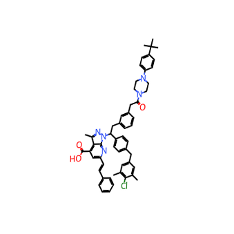 Cc1cc(Cc2ccc(C(Cc3cccc(CC(=O)N4CCN(c5ccc(C(C)(C)C)cc5)CC4)c3)n3nc(C)c4c(C(=O)O)cc(/C=C/c5ccccc5)nc43)cc2)cc(C)c1Cl